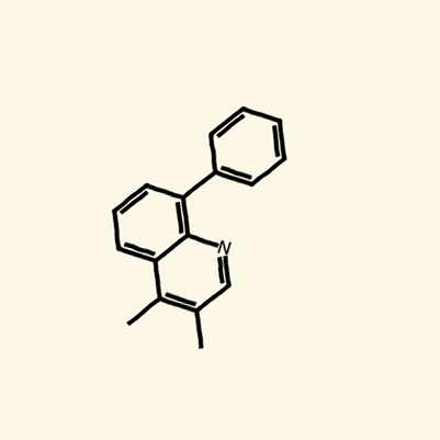 Cc1cnc2c(-c3ccccc3)cccc2c1C